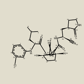 CC(C)C[C@H](Nc1cccc(Cl)c1)C(=O)N1[C@H]2CC[C@@H]([C@H]1C(=O)N[C@H](C#N)C[C@H]1CCNC1=O)C(F)(F)C2